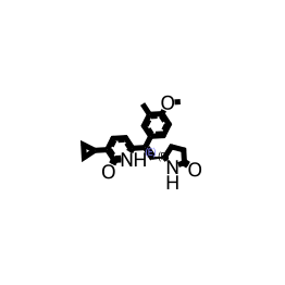 COc1ccc(/C(=C\[C@H]2CCC(=O)N2)c2ccc(C3CC3)c(=O)[nH]2)cc1C